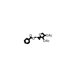 CC(=O)OC1CO[C@]2(C[C@H]2COC(=O)c2ccccc2)C1OC(C)=O